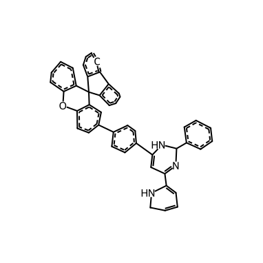 C1=CCNC(C2=NC(c3ccccc3)NC(c3ccc(-c4ccc5c(c4)C4(c6ccccc6O5)c5ccccc5-c5ccccc54)cc3)=C2)=C1